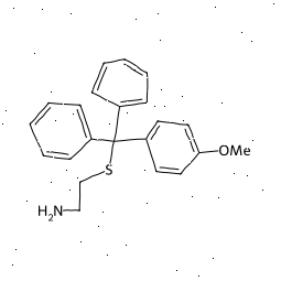 COc1ccc(C(SCCN)(c2ccccc2)c2ccccc2)cc1